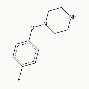 Fc1ccc(ON2CCNCC2)cc1